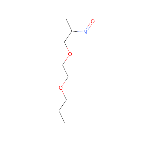 CCCOCCOCC(C)N=O